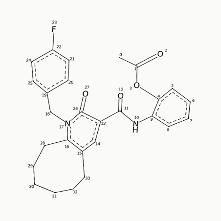 CC(=O)Oc1ccccc1NC(=O)c1cc2c(n(Cc3ccc(F)cc3)c1=O)CCCCCC2